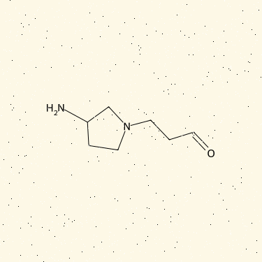 NC1CCN(CCC=O)C1